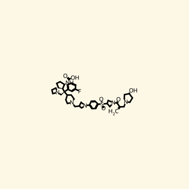 C=C(CN1CCC(O)CC1)C(=O)N1CC(S(=O)(=O)c2ccc(N3CC(CN4CCC([C@@](CN5CCC5)(c5cccc(F)c5)[C@H]5CCC[C@@H]5NC(=O)O)CC4)C3)cc2)C1